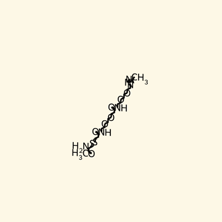 CC(=O)[C@@H](N)CSSCCC(=O)NCCOCCOCCC(=O)NCCOCCOCCn1cc(C)nn1